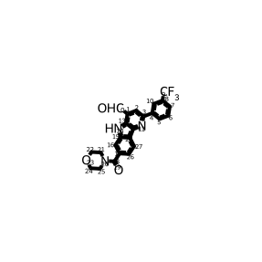 O=Cc1cc(-c2cccc(C(F)(F)F)c2)nc2c1[nH]c1cc(C(=O)N3CCOCC3)ccc12